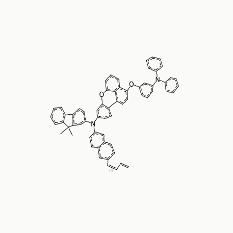 C=C/C=C\c1ccc2cc(N(c3ccc4c(c3)Oc3cccc5c(Oc6cccc(N(c7ccccc7)c7ccccc7)c6)ccc-4c35)c3ccc4c(c3)C(C)(C)c3ccccc3-4)ccc2c1